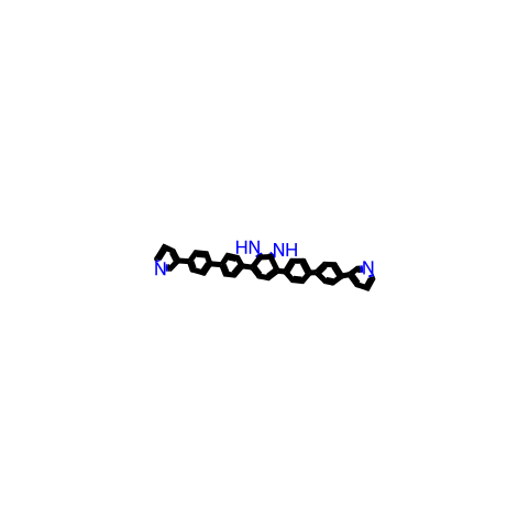 N=C1C(=N)C(c2ccc(-c3ccc(-c4cccnc4)cc3)cc2)=CC=C1c1ccc(-c2ccc(-c3cccnc3)cc2)cc1